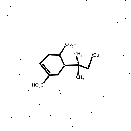 CC(C)(C)CC(C)(C)C1CC(C(=O)O)=CCC1C(=O)O